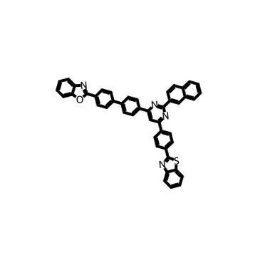 c1ccc2cc(-c3nc(-c4ccc(-c5ccc(-c6nc7ccccc7o6)cc5)cc4)cc(-c4ccc(-c5nc6ccccc6s5)cc4)n3)ccc2c1